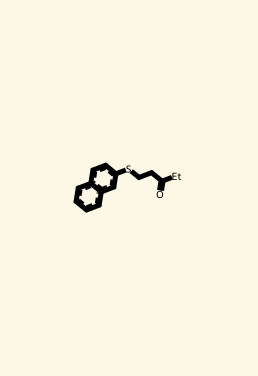 CCC(=O)CCSc1ccc2ccccc2c1